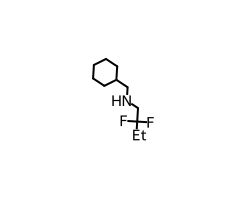 CCC(F)(F)CNCC1CCCCC1